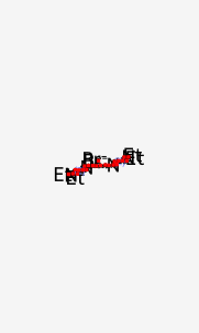 CCN(CC)c1ccc(/C=C/c2cc[n+](CCCCCCCCCCCC[n+]3ccc(/C=C/c4ccc(N(CC)CC)cc4)c(C)c3)cc2C)cc1.[Br-].[Br-]